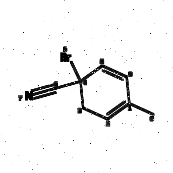 CC1=CCC(Br)(C#N)C=C1